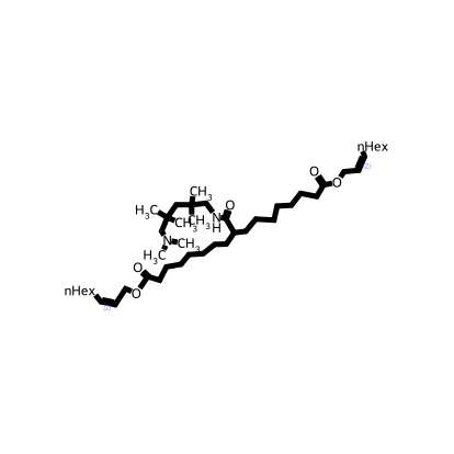 CCCCCC/C=C\COC(=O)CCCCCCCC(CCCCCCCC(=O)OC/C=C\CCCCCC)C(=O)NCC(C)(C)CC(C)(C)CN(C)C